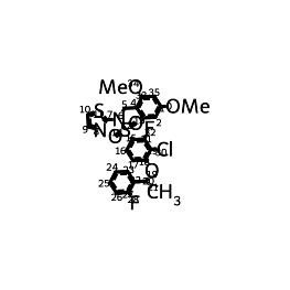 COc1ccc(CN(c2nccs2)S(=O)(=O)c2ccc(O[C@@H](C)c3ccccc3F)c(Cl)c2F)c(OC)c1